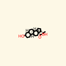 CC(=O)[C@]12CC[C@H]3[C@@H](CC[C@H]4C[C@H](O)CC[C@@]43C)[C@@H]1CC[C@@H]2C(C)O